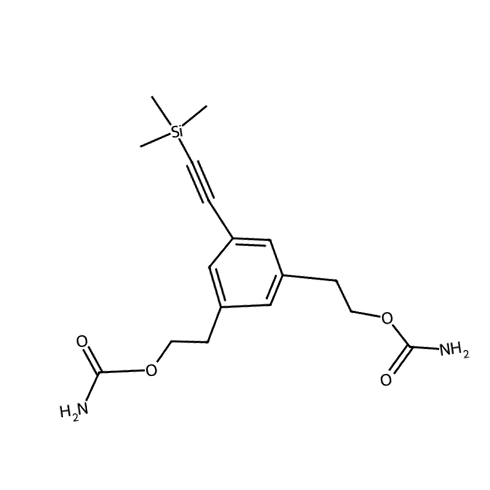 C[Si](C)(C)C#Cc1cc(CCOC(N)=O)cc(CCOC(N)=O)c1